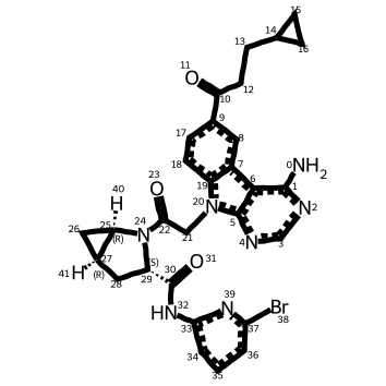 Nc1ncnc2c1c1cc(C(=O)CCC3CC3)ccc1n2CC(=O)N1[C@@H]2C[C@@H]2C[C@H]1C(=O)Nc1cccc(Br)n1